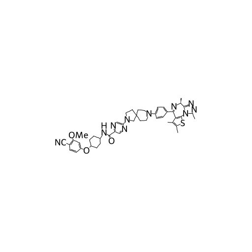 COc1cc(OC2CCC(NC(=O)c3cnc(N4CCC5(CCN(c6ccc(C7=N[C@@H](C)c8nnc(C)n8-c8sc(C)c(C)c87)cc6)CC5)C4)cn3)CC2)ccc1C#N